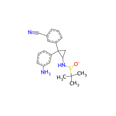 CC(C)(C)[S@@+]([O-])NC1CC1(c1cccc(N)c1)c1cccc(C#N)c1